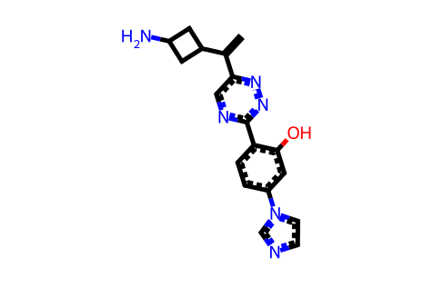 C=C(c1cnc(-c2ccc(-n3ccnc3)cc2O)nn1)C1CC(N)C1